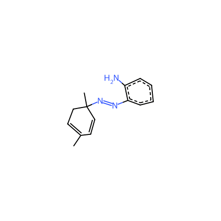 CC1=CCC(C)(N=Nc2ccccc2N)C=C1